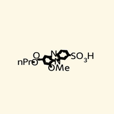 CCCOC(=O)c1cc(OC)c2nc3cc(S(=O)(=O)O)ccc3nc2c1